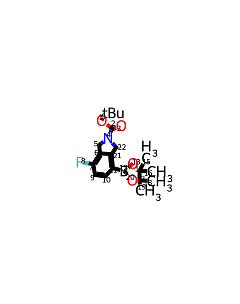 CC(C)(C)OC(=O)N1Cc2c(F)ccc(B3OC(C)(C)C(C)(C)O3)c2C1